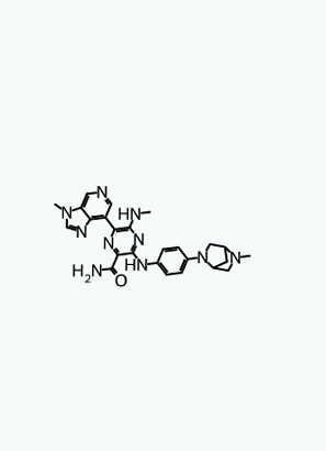 CNc1nc(Nc2ccc(N3CC4CC3CN4C)cc2)c(C(N)=O)nc1-c1cncc2c1ncn2C